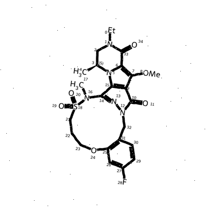 CCN1C[C@H](C)n2c(c(OC)c3c(=O)n4nc(c32)N(C)S(=O)(=O)CCCOc2cc(F)ccc2C4)C1=O